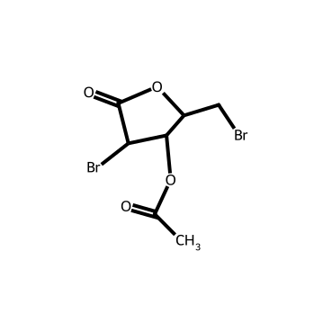 CC(=O)OC1C(CBr)OC(=O)C1Br